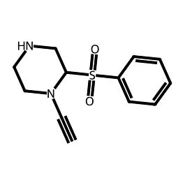 C#CN1CCNCC1S(=O)(=O)c1ccccc1